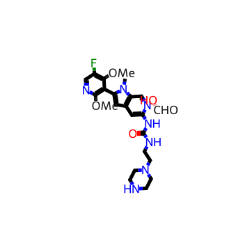 COc1ncc(F)c(OC)c1-c1cc2cc(NC(=O)NCCN3CCNCC3)ncc2n1C.O=CO